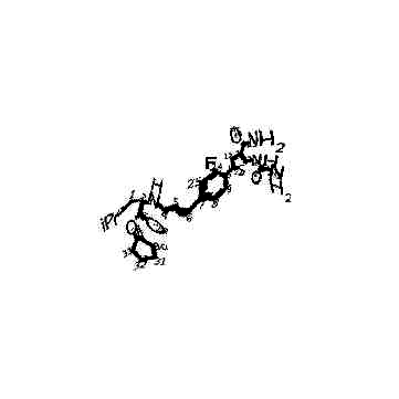 CC(C)C[C@@H](NC/C=C/c1ccc(-c2cc(C(N)=O)c(NC(N)=O)s2)c(F)c1)C(=O)OC1CCCC1